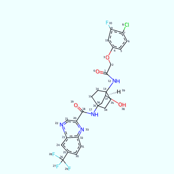 O=C(COc1ccc(Cl)c(F)c1)NC12CCC(NC(=O)c3cnc4cc(C(F)(F)F)ccc4n3)(CC1)C[C@@H]2O